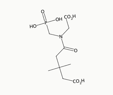 CC(C)(CC(=O)O)CC(=O)N(CC(=O)O)CP(=O)(O)O